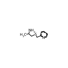 CC(N)CSCc1ccccn1